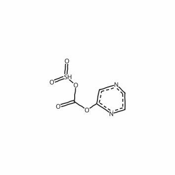 O=C(Oc1cnccn1)O[SH](=O)=O